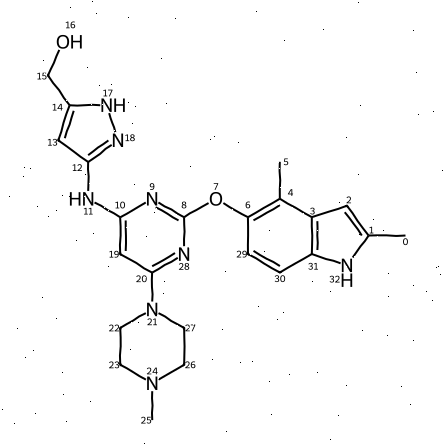 Cc1cc2c(C)c(Oc3nc(Nc4cc(CO)[nH]n4)cc(N4CCN(C)CC4)n3)ccc2[nH]1